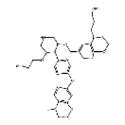 CNCCOC1CNCC(OCc2ccc3c(c2)N(CCCOC)CCO3)C1c1ccc(Oc2ccc3c(c2)OCCN3C)cc1